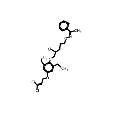 CCc1cc(OCC=C(Cl)Cl)cc(CC)c1OCC(Cl)CCCON=C(C)c1ccccc1